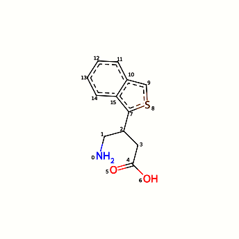 NCC(CC(=O)O)c1scc2ccccc12